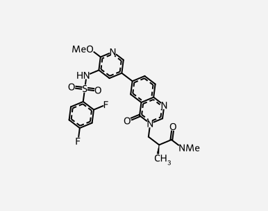 CNC(=O)[C@@H](C)Cn1cnc2ccc(-c3cnc(OC)c(NS(=O)(=O)c4ccc(F)cc4F)c3)cc2c1=O